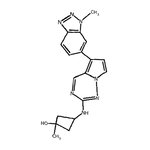 Cn1nnc2ccc(-c3ccn4nc(NC5CC(C)(O)C5)ncc34)cc21